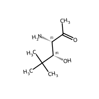 CC(=O)[C@@H](N)[C@H](O)C(C)(C)C